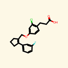 O=C(O)CCc1ccc(OCC2=C(c3cccc(F)c3)CCC2)cc1Cl